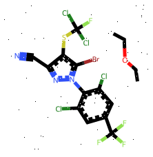 CCOCC.N#Cc1nn(-c2c(Cl)cc(C(F)(F)F)cc2Cl)c(Br)c1SC(F)(Cl)Cl